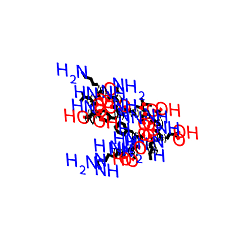 CC[C@H](C)[C@H](NC(=O)[C@H](Cc1ccccc1)NC(=O)[C@H](CO)NC(=O)[C@@H](N)CCCNC(=N)N)C(=O)N[C@@H](CCC(=O)O)C(=O)N[C@@H](CC(=O)O)C(=O)N[C@@H](CC(C)C)C(=O)N[C@@H](CC(C)C)C(=O)N[C@@H](Cc1ccccc1)C(=O)N[C@@H](CC(N)=O)C(=O)N[C@@H](CCCCN)C(=O)N[C@H](C(=O)N[C@H](C(=O)O)[C@@H](C)O)C(C)C